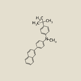 CN(c1ccc(-c2ccc3ccccc3c2)cc1)c1ccc(C(C)(C)C)cc1